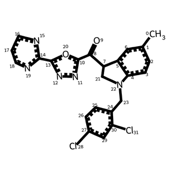 Cc1ccc2c(c1)C(C(=O)c1nnc(-c3ncccn3)o1)CN2Cc1ccc(Cl)cc1Cl